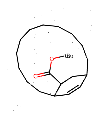 CC(C)(C)OC(=O)C1CC2C=CC1CCCCCCCCCCC2